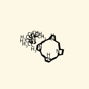 C1=Cc2cc3ccc(cc4nc(cc5ccc(cc1n2)[nH]5)C=C4)[nH]3.C[CH2][Ni]([CH2]C)([CH2]C)([CH2]C)([CH2]C)([CH2]C)([CH2]C)[CH2]C